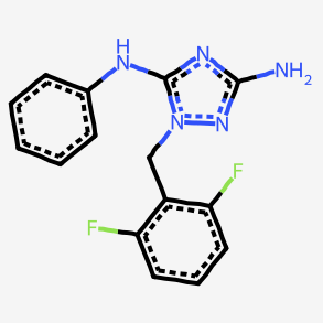 Nc1nc(Nc2ccccc2)n(Cc2c(F)cccc2F)n1